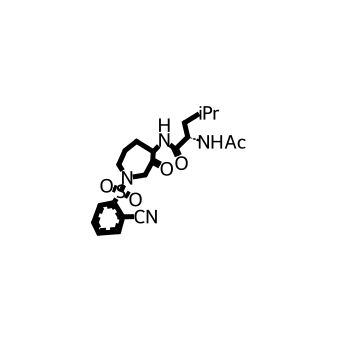 [CH2]C(=O)N[C@@H](CC(C)C)C(=O)NC1CCCN(S(=O)(=O)c2ccccc2C#N)CC1=O